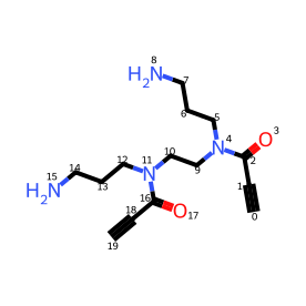 C#CC(=O)N(CCCN)CCN(CCCN)C(=O)C#C